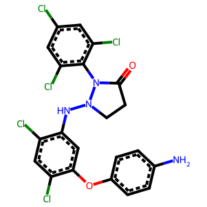 Nc1ccc(Oc2cc(NN3CCC(=O)N3c3c(Cl)cc(Cl)cc3Cl)c(Cl)cc2Cl)cc1